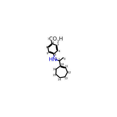 CC(Nc1ccc(C(=O)O)cc1)C1=CCCCCC1